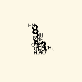 CC(C)n1c(=O)c2cnc(Nc3ccc4c(c3)CCNC4)nc2n1-c1nc(C(C)(C)CO)ccc1F